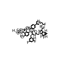 Cn1nc(NS(C)(=O)=O)c2c(Cl)ccc(-n3c([C@H](Cc4cc(F)cc(F)c4)NC(=O)Cn4nc(C(F)F)c5c4C(F)(F)[C@@H]4C[C@H]54)nc4cc(-c5cnn(CC(F)F)c5)ccc4c3=O)c21